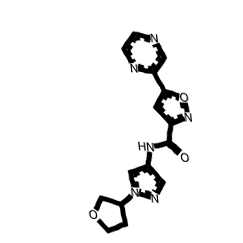 O=C(Nc1cnn(C2CCOC2)c1)c1cc(-c2cnccn2)on1